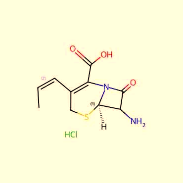 C/C=C\C1=C(C(=O)O)N2C(=O)C(N)[C@H]2SC1.Cl